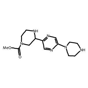 COC(=O)N1CCNC(c2cnc(N3CCNCC3)cn2)C1